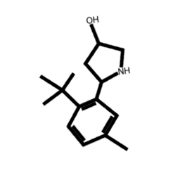 Cc1ccc(C(C)(C)C)c(C2CC(O)CN2)c1